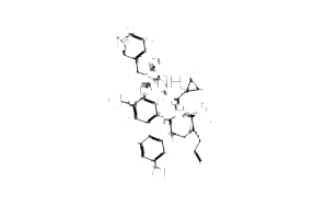 C=CC[C@@]1(C)C[C@H](c2cccc(Cl)c2)[C@@H](c2ccc(Cl)cc2)N([C@H](CNS(=O)(=O)Cc2cccnc2)C2CC2)C1=O